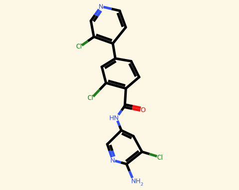 Nc1ncc(NC(=O)c2ccc(-c3ccncc3Cl)cc2Cl)cc1Cl